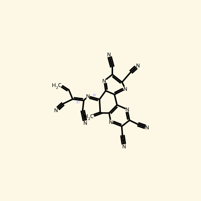 C=C/C(C#N)=C(C#N)\N=C1/C(=C)c2nc(C#N)c(C#N)nc2-c2nc(C#N)c(C#N)nc21